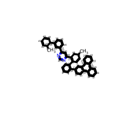 CC1C=CC(c2ccccc2-c2ccc3c4ccccc4c4ccccc4c3c2)=C(c2cc(-c3cccc(C4C=CC=CC4C)c3)ncn2)C1